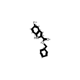 O=C(OCc1ccccc1)c1cc2cc(F)ccc2[nH]1